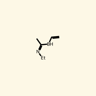 C=CB/C(C)=N\CC